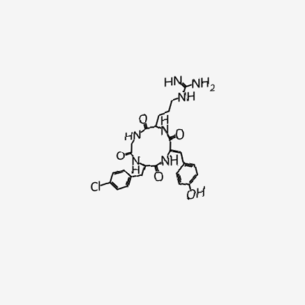 N=C(N)NCCCC1NC(=O)C(Cc2ccc(O)cc2)NC(=O)C(Cc2ccc(Cl)cc2)NC(=O)CNC1=O